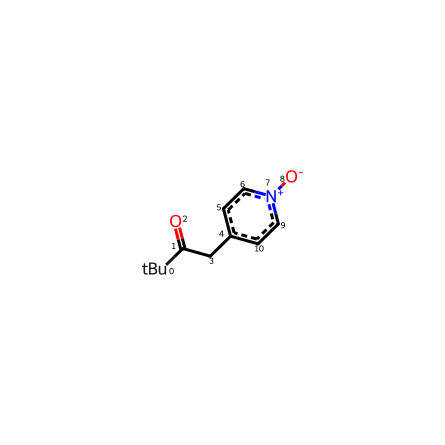 CC(C)(C)C(=O)Cc1cc[n+]([O-])cc1